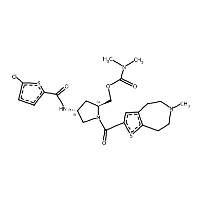 CN1CCc2cc(C(=O)N3C[C@H](NC(=O)c4ccc(Cl)s4)C[C@H]3COC(=O)N(C)C)sc2CC1